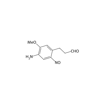 COc1cc(CCC=O)c(N=O)cc1N